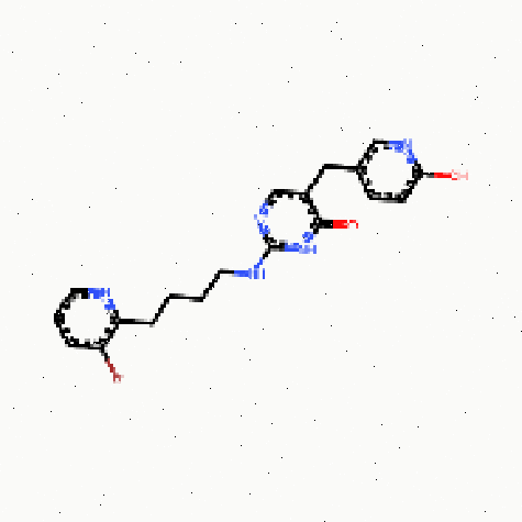 O=c1[nH]c(NCCCCc2ncccc2Br)ncc1Cc1ccc(O)nc1